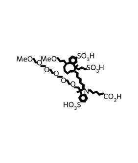 COCCCC1CCC\C=C(/C=C/C=C/C=C2/N(CCCCCC(=O)O)c3ccc(S(=O)(=O)O)cc3C2(C)CCOCCOCCOCCOCCOCCOC)C(C)(CCCS(=O)(=O)O)c2cc(S(=O)(=O)O)ccc21